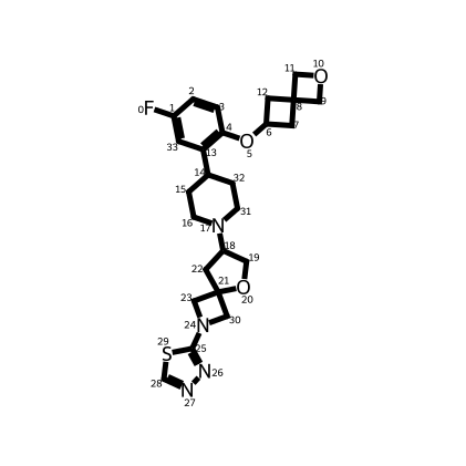 Fc1ccc(OC2CC3(COC3)C2)c(C2CCN(C3COC4(C3)CN(c3nncs3)C4)CC2)c1